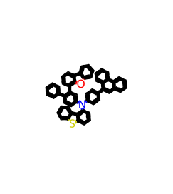 c1ccc(-c2ccc(N(c3ccc(-c4cc5ccccc5c5ccccc45)cc3)c3cccc4sc5ccccc5c34)cc2-c2cccc3c2oc2ccccc23)cc1